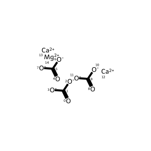 O=C([O-])[O-].O=C([O-])[O-].O=C([O-])[O-].[Ca+2].[Ca+2].[Mg+2]